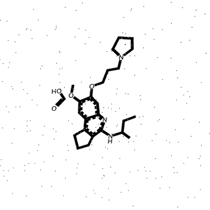 CCC(C)Nc1nc2cc(OCCCN3CCCC3)c(OC)cc2c2c1CCC2.O=CO